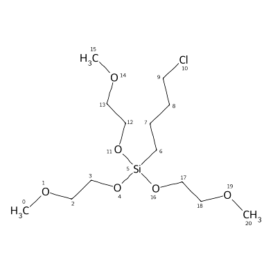 COCCO[Si](CCCCCl)(OCCOC)OCCOC